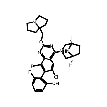 Oc1cccc(F)c1-c1c(Cl)cc2c(N3C[C@H]4CC[C@@H](C3)N4)nc(OCC34CCCN3CCC4)nc2c1F